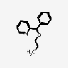 CCCOC(c1ccccc1)c1ccccn1